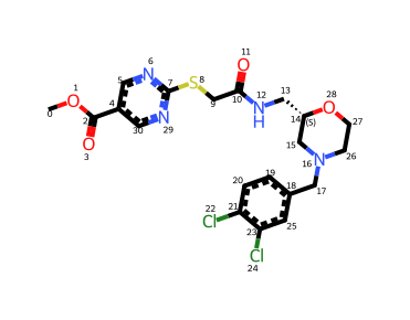 COC(=O)c1cnc(SCC(=O)NC[C@H]2CN(Cc3ccc(Cl)c(Cl)c3)CCO2)nc1